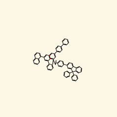 c1ccc(-c2ccc(-c3cccc(N(c4ccc(-c5ccc6c(c5)C(c5ccccc5)(c5ccccc5)c5ccccc5-6)cc4)c4ccccc4-c4cccc(-c5cccc6ccccc56)c4)c3)cc2)cc1